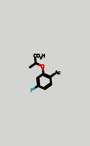 CC(=O)c1ccc(F)cc1OC(C)C(=O)O